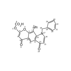 CCCc1c2oc(OC(=O)O)cc(=O)c2cc2c(=O)ccn(Cc3ccccc3)c12